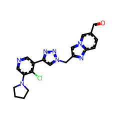 O=Cc1ccc2nc(Cn3cc(-c4cncc(N5CCCC5)c4Cl)nn3)cn2c1